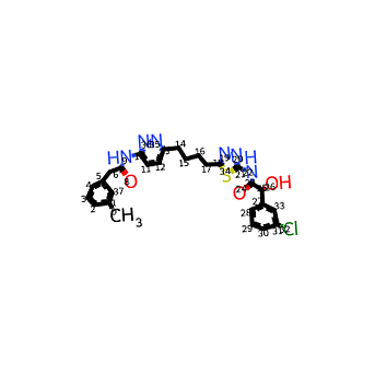 Cc1cccc(CC(=O)Nc2ccc(CCCCc3nnc(NC(=O)C(O)c4cccc(Cl)c4)s3)nn2)c1